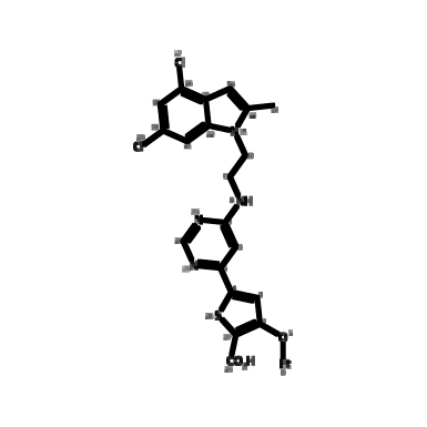 CCOc1cc(-c2cc(NCCn3c(C)cc4c(Cl)cc(Cl)cc43)ncn2)sc1C(=O)O